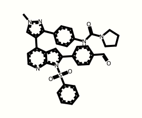 Cn1cc(-c2ccnc3c2cc(-c2ccc(C=O)cc2)n3S(=O)(=O)c2ccccc2)c(-c2ccc(NC(=O)N3CCCC3)cc2)n1